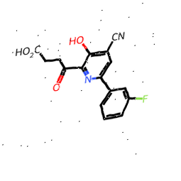 N#Cc1cc(-c2cccc(F)c2)nc(C(=O)CCC(=O)O)c1O